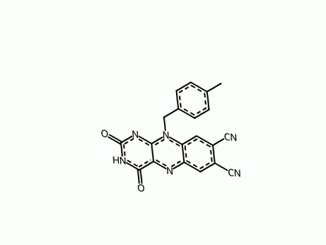 Cc1ccc(Cn2c3nc(=O)[nH]c(=O)c-3nc3cc(C#N)c(C#N)cc32)cc1